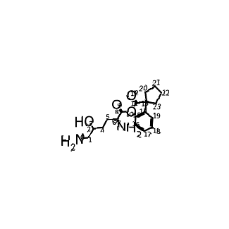 NCC(O)CC[C@H](N)C(=O)OC(=O)C1(c2ccccc2)CCCC1